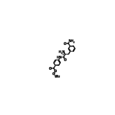 CC(C)(C)OOC(=O)c1ccc(NC(=O)[C@@H](N)Cc2cccc(C(N)=O)c2)cc1